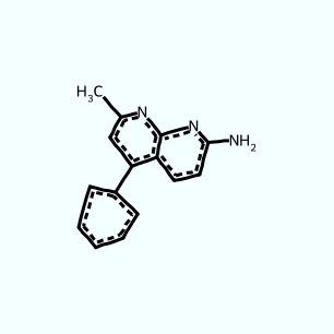 Cc1cc(-c2ccccc2)c2ccc(N)nc2n1